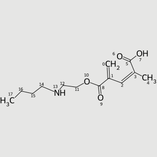 C=C(C=C(C)C(=O)O)C(=O)OCCNCCCC